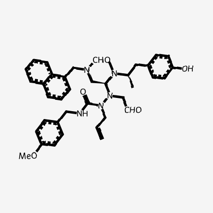 C=CCN(C(=O)NCc1ccc(OC)cc1)N(CC=O)[C@@H](CN(C=O)Cc1cccc2ccccc12)N(C)[C@H](C)Cc1ccc(O)cc1